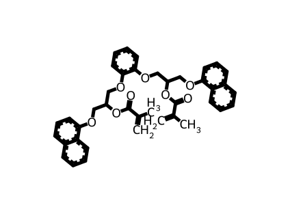 C=C(C)C(=O)OC(COc1ccccc1OCC(COc1cccc2ccccc12)OC(=O)C(=C)C)COc1cccc2ccccc12